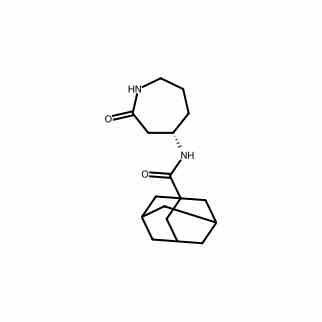 O=C1C[C@@H](NC(=O)C23CC4CC(CC(C4)C2)C3)CCCN1